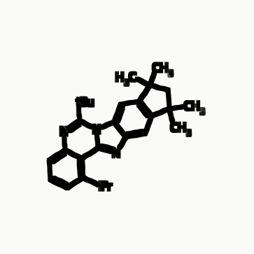 CC(C)c1cccc2nc(C(C)(C)C)n3c4cc5c(cc4nc3c12)C(C)(C)CC5(C)C